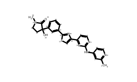 Cc1cc(Nc2nccc(-c3csc(-c4cccc(C5(O)CCN(C)C5=O)c4)n3)n2)ccn1